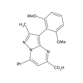 COc1cccc(OC)c1-c1c(C)nn2c(C(C)C)cc(C(=O)O)nc12